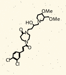 COCC1CN(CC(O)CCN2CCN(C(=O)/C=C/c3ccc(Cl)c(Cl)c3)CCC2=O)CCC1OC